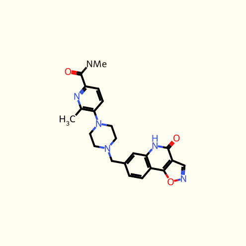 CNC(=O)c1ccc(N2CCN(Cc3ccc4c(c3)[nH]c(=O)c3cnoc34)CC2)c(C)n1